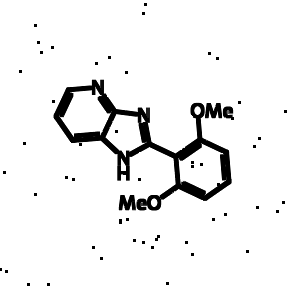 COc1cccc(OC)c1-c1nc2ncccc2[nH]1